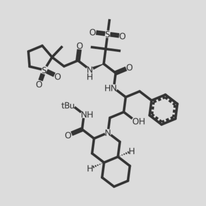 CC(C)(C)NC(=O)C1C[C@@H]2CCCC[C@@H]2CN1CC(O)C(Cc1ccccc1)NC(=O)[C@@H](NC(=O)CC1(C)CCCS1(=O)=O)C(C)(C)S(C)(=O)=O